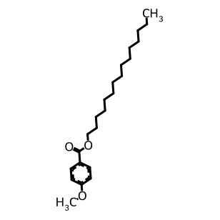 CCCCCCCCCCCCCCCOC(=O)c1ccc(OC)cc1